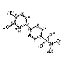 CCN(CC)S(=O)(=O)c1ccc(-c2ccc(Cl)c(=O)[nH]2)cc1